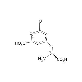 N[C@@H](Cc1cc(C(=O)O)oc(=O)c1)C(=O)O